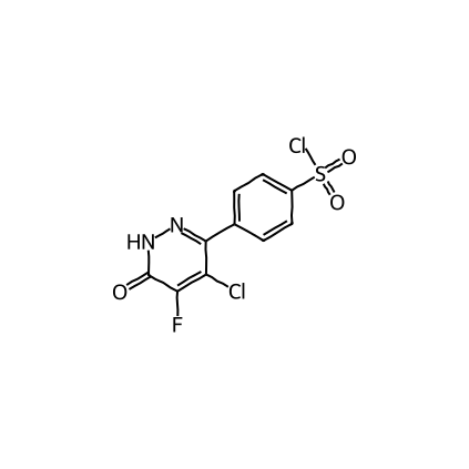 O=c1[nH]nc(-c2ccc(S(=O)(=O)Cl)cc2)c(Cl)c1F